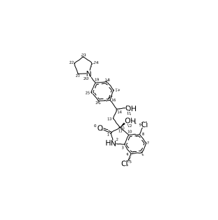 O=C1Nc2c(Cl)ccc(Cl)c2[C@@]1(O)CC(O)c1ccc(N2CCCC2)cc1